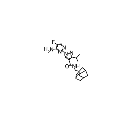 CC(C)c1nn(-c2ncc(F)c(N)n2)cc1C(=O)NCC12CC3CC(CC(C3)C1)C2